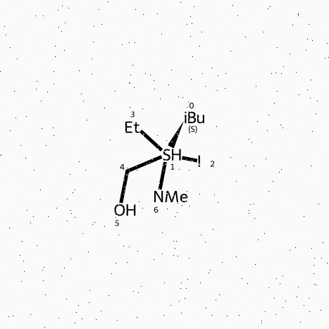 CC[C@H](C)[SH](I)(CC)(CO)NC